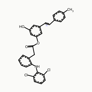 Cc1ccc(/C=C/c2cc(O)cc(OC(=O)Cc3ccccc3Nc3c(Cl)cccc3Cl)c2)cc1